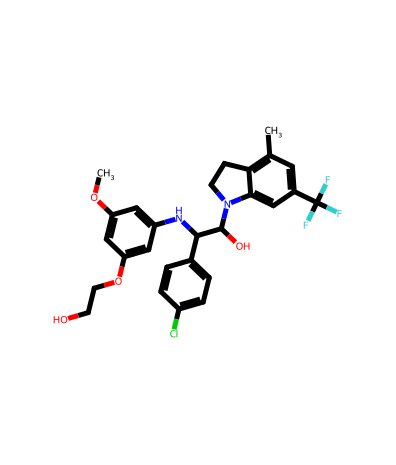 COc1cc(NC(c2ccc(Cl)cc2)C(O)N2CCc3c(C)cc(C(F)(F)F)cc32)cc(OCCO)c1